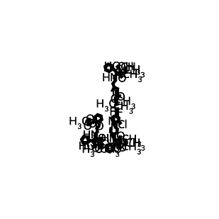 CC(C)(C)N1C(=O)C(NC2CCN(c3ncc(C(F)(F)F)cc3Cl)CC2)=C(c2ccccc2)S1(=O)=O.CC(C)(C)N1C(=O)C(NCCOc2ccccc2OS(C)(=O)=O)=C(c2ccccc2)S1(O)O.CC(C)(C)OC(=O)N1CC(CCNC2=C(c3ccccc3)S(O)(O)N(C(C)(C)C)C2=O)C1